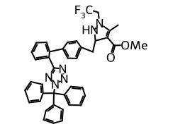 COC(=O)C1=C(C)N(CC(F)(F)F)NC1Cc1ccc(-c2ccccc2-c2nnn(C(c3ccccc3)(c3ccccc3)c3ccccc3)n2)cc1